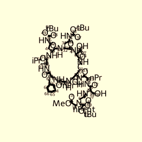 CCCCC[C@@H](C(=O)OC)N(CC(=O)N[C@H](C(=O)N[C@@H](CCC)C(=O)N[C@H]1CCNC(=O)[C@H]([C@@H](C)O)NC(=O)[C@H](CCNC(=O)OC(C)(C)C)NC(=O)[C@H](CCNC(=O)OC(C)(C)C)NC(=O)[C@H](CC(C)C)NC(=O)[C@@H](Cc2ccccc2)NC(=O)[C@H](CCC)NC1=O)[C@@H](C)O)C(=O)OC(C)(C)C